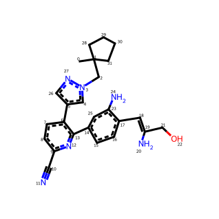 CC1(Cn2cc(-c3ccc(C#N)nc3-c3ccc(/C=C(\N)CO)c(N)c3)cn2)CCCC1